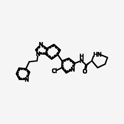 O=C(Nc1cc(-c2ccc3ncn(CCc4cccnc4)c3c2)c(Cl)cn1)[C@@H]1CCCNC1